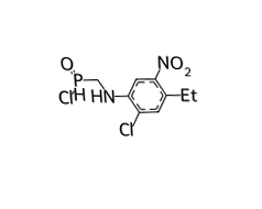 CCc1cc(Cl)c(NC[PH](=O)Cl)cc1[N+](=O)[O-]